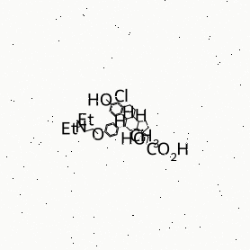 CCN(CC)CCOc1ccc([C@H]2C[C@@]3(C)[C@@H](CC[C@@]3(O)CCC(=O)O)[C@@H]3CCc4c(ccc(O)c4Cl)[C@H]32)cc1